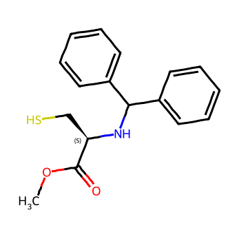 COC(=O)[C@@H](CS)NC(c1ccccc1)c1ccccc1